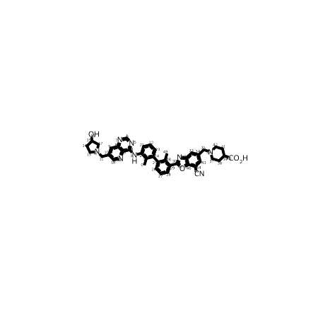 Cc1c(Nc2ncnc3cc(CN4CCC(O)C4)cnc23)cccc1-c1cccc(-c2nc3cc(CN4CCC(C(=O)O)CC4)cc(C#N)c3o2)c1C